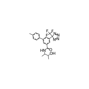 Cc1ccc(-c2cc(C(=O)NC(C)C(C)O)cc(C3(C(F)(F)F)N=NN=N3)c2)cc1